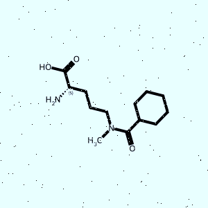 CN(CCC[C@H](N)C(=O)O)C(=O)C1CCCCC1